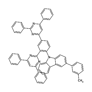 Cc1cccc(-c2ccc3c(c2)c2ccccc2n3-c2ccc(-c3cc(-c4ccccc4)nc(-c4ccccc4)n3)cc2-c2nc(-c3ccccc3)cc(-c3ccccc3)n2)c1